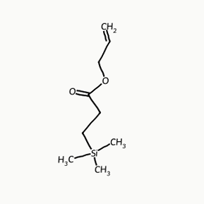 C=CCOC(=O)CC[Si](C)(C)C